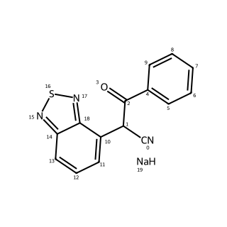 N#CC(C(=O)c1ccccc1)c1cccc2nsnc12.[NaH]